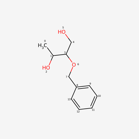 CC(O)C(CO)OCc1ccccc1